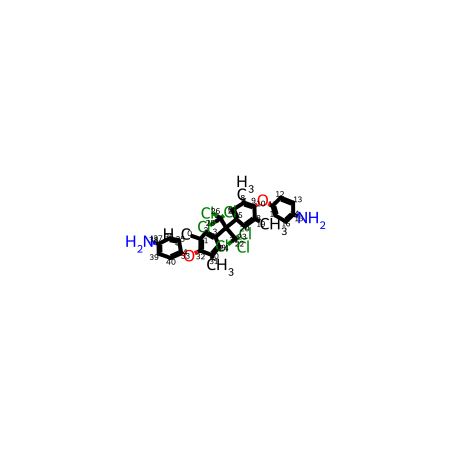 Cc1cc(C(c2cc(C)c(Oc3ccc(N)cc3)c(C)c2)(C(Cl)(Cl)Cl)C(Cl)(Cl)Cl)cc(C)c1Oc1ccc(N)cc1